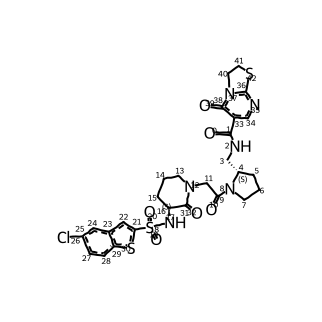 O=C(NC[C@@H]1CCCN1C(=O)CN1CCC[C@H](NS(=O)(=O)c2cc3cc(Cl)ccc3s2)C1=O)c1cnc2n(c1=O)CCS2